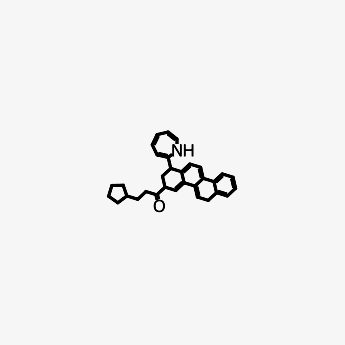 O=C(CCC1CCCC1)C1C=c2c(ccc3c2=CCc2ccccc2-3)C(C2=CC=CC=CN2)C1